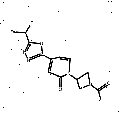 CC(=O)N1CC(n2ccc(-c3nnc(C(F)F)o3)cc2=O)C1